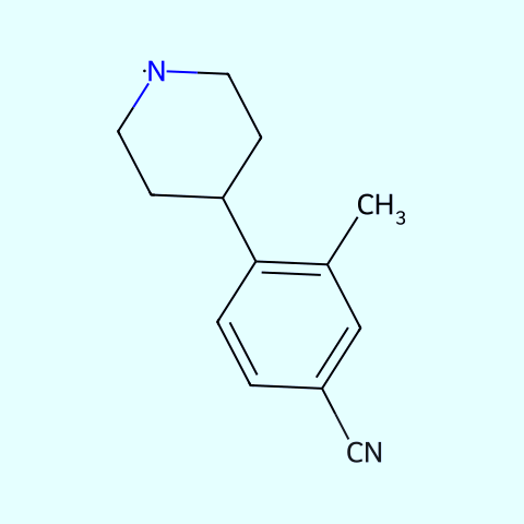 Cc1cc(C#N)ccc1C1CC[N]CC1